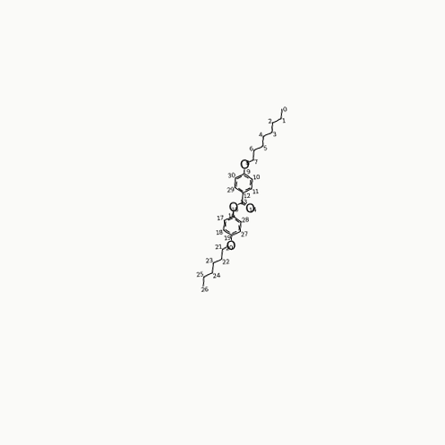 CCCCCCCCOc1ccc(C(=O)Oc2ccc(OCCCCCC)cc2)cc1